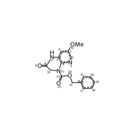 COc1cnc2c(c1)NC(=O)CN2C(=O)OCc1ccccc1